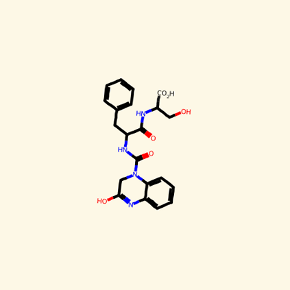 O=C(O)C(CO)NC(=O)C(Cc1ccccc1)NC(=O)N1CC(O)=Nc2ccccc21